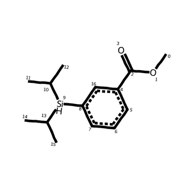 COC(=O)c1cccc([SiH](C(C)C)C(C)C)c1